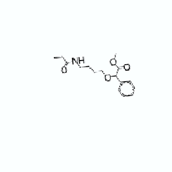 C=CC(=O)NCCCCOC(C(=O)OC)c1ccccc1